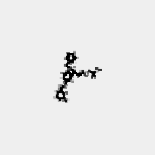 O=C(O)CON=Cc1cn(Cc2ccccc2)c2ccc(OCc3cccc(Cl)c3)cc12